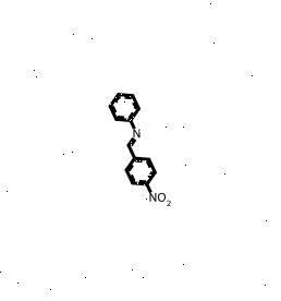 O=[N+]([O-])c1ccc(C=Nc2ccccc2)cc1